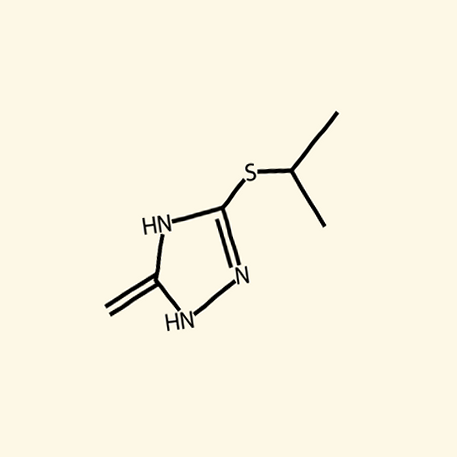 C=C1NN=C(SC(C)C)N1